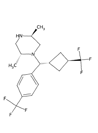 C[C@@H]1CN[C@@H](C)CN1C(c1ccc(C(F)(F)F)cc1)[C@H]1C[C@H](C(F)(F)F)C1